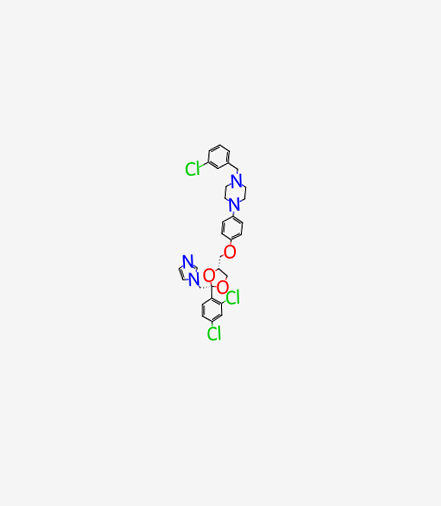 Clc1cccc(CN2CCN(c3ccc(OC[C@@H]4CO[C@@](Cn5ccnc5)(c5ccc(Cl)cc5Cl)O4)cc3)CC2)c1